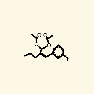 CCCC(=Cc1cccc(F)c1)C(OC(C)=O)OC(C)=O